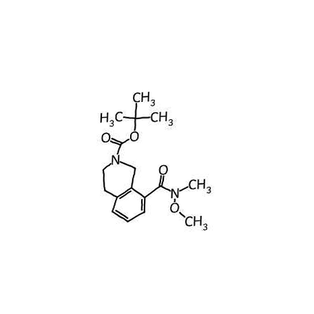 CON(C)C(=O)c1cccc2c1CN(C(=O)OC(C)(C)C)CC2